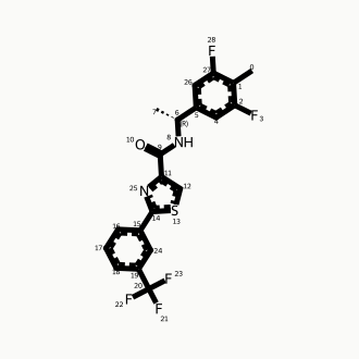 Cc1c(F)cc([C@@H](C)NC(=O)c2csc(-c3cccc(C(F)(F)F)c3)n2)cc1F